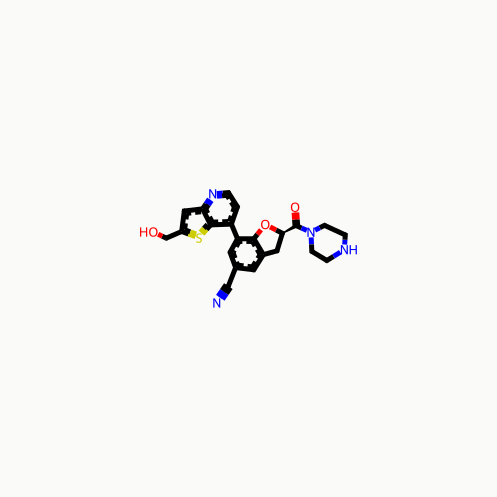 N#Cc1cc2c(c(-c3ccnc4cc(CO)sc34)c1)O[C@@H](C(=O)N1CCNCC1)C2